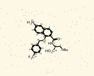 CC(C)(C)C[C@H](NC(=O)c1ccc2cc(N)ccc2c1OCc1ccc(C(F)(F)F)cc1)C(=O)O